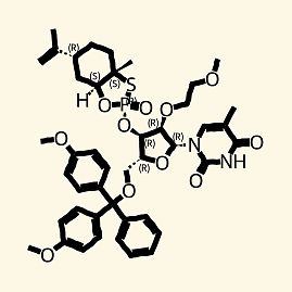 C=C(C)[C@@H]1CC[C@]2(C)S[P@](=O)(O[C@H]3[C@@H](OCCOC)[C@H](n4cc(C)c(=O)[nH]c4=O)O[C@@H]3COC(c3ccccc3)(c3ccc(OC)cc3)c3ccc(OC)cc3)O[C@H]2C1